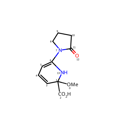 COC1(C(=O)O)C=CC=C(N2CCCC2=O)N1